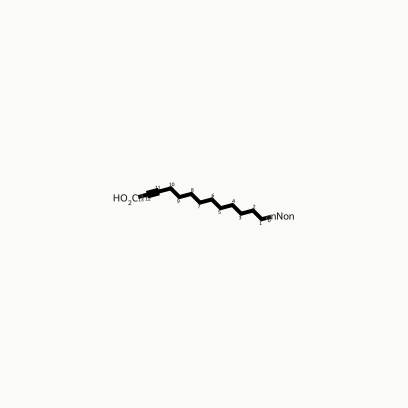 CCCCCCCCCCCCCCCCCCCC#CC(=O)O